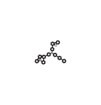 c1ccc(-c2ccc(-c3ccc(N(c4ccc(-c5cccc(-c6ccccc6-n6c7ccccc7c7ccccc76)c5)cc4)c4ccc(-c5cccc6c5oc5ccccc56)cc4)cc3)cc2)cc1